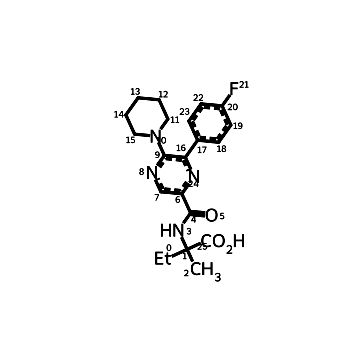 CCC(C)(NC(=O)c1cnc(N2CCCCC2)c(-c2ccc(F)cc2)n1)C(=O)O